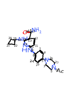 CC(=O)N1CCN(c2ccc(Nc3ccc(C(N)=O)c(NC4CCC4)n3)cc2)CC1